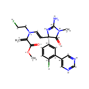 C=C(C(=O)OC)N(/C=C/[C@@]1(c2ccc(F)c(-c3cncnc3)c2)N=C(N)N(C)C1=O)CCF